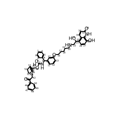 O=C(NC(c1ccccc1)c1cccc(OCCCCCNCC(O)c2ccc(O)c3[nH]c(=O)ccc23)c1)O[C@H]1C[N+]2(CC(=O)c3ccccc3)CCC1CC2